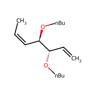 C=C[C@H](OCCCC)[C@@H](/C=C\C)OCCCC